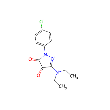 CCN(CC)C1=NN(c2ccc(Cl)cc2)C(=O)C1=O